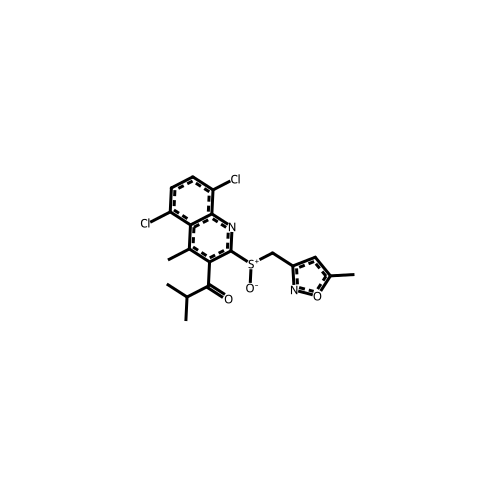 Cc1cc(C[S+]([O-])c2nc3c(Cl)ccc(Cl)c3c(C)c2C(=O)C(C)C)no1